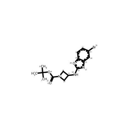 CC(C)(C)OC(=O)N1CC(Nc2nc3cc(Br)ccc3o2)C1